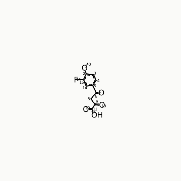 COc1ccc(C(=O)CC(=O)C(=O)O)cc1F